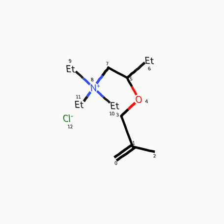 C=C(C)COC(CC)C[N+](CC)(CC)CC.[Cl-]